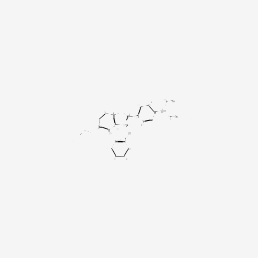 CCOc1ccc2sc(-c3ccc(N(CC)CC)cc3)[n+](Cc3ccccc3)c2c1